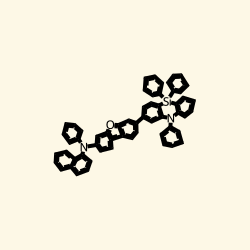 c1ccc(N2c3ccccc3[Si](c3ccccc3)(c3ccccc3)c3ccc(-c4ccc5c(c4)oc4cc(N(c6ccccc6)c6cccc7ccccc67)ccc45)cc32)cc1